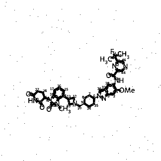 COc1cc2nn([C@H]3CC[C@H](CN4CC(c5cccc6c5n(C)c(=O)n6C5CCC(=O)NC5=O)C4)CC3)cc2cc1NC(=O)c1cncc(C(C)(C)F)n1